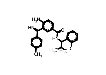 Cc1ccc(C(=N)c2cc(C(=O)NC(c3ccccc3Cl)C(C)C)ccc2N)cc1